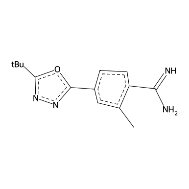 Cc1cc(-c2nnc(C(C)(C)C)o2)ccc1C(=N)N